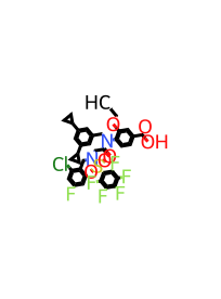 C#CCOc1cc(C(=O)O)ccc1N(Cc1cc(C2CC2)cc(C2CC2)c1)C(=O)CN(Cc1ccc(F)cc1Cl)S(=O)(=O)c1c(F)c(F)c(F)c(F)c1F